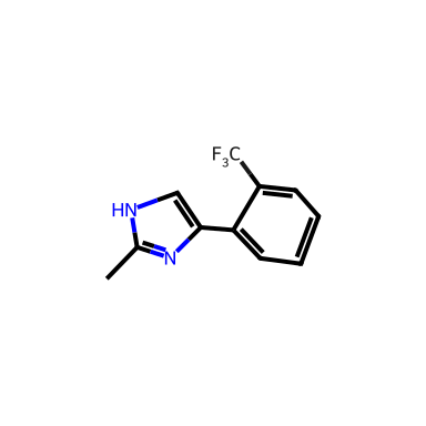 Cc1nc(-c2ccccc2C(F)(F)F)c[nH]1